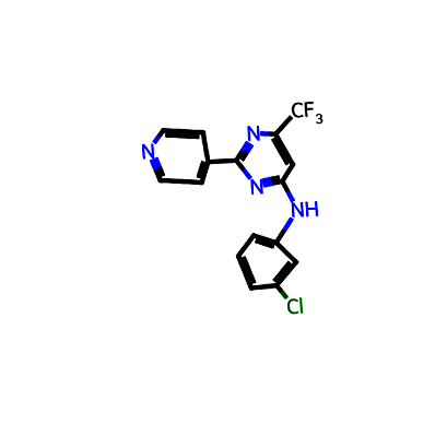 FC(F)(F)c1cc(Nc2cccc(Cl)c2)nc(-c2ccncc2)n1